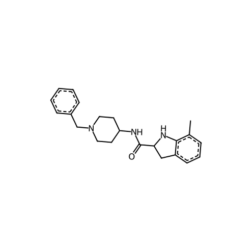 Cc1cccc2c1NC(C(=O)NC1CCN(Cc3ccccc3)CC1)C2